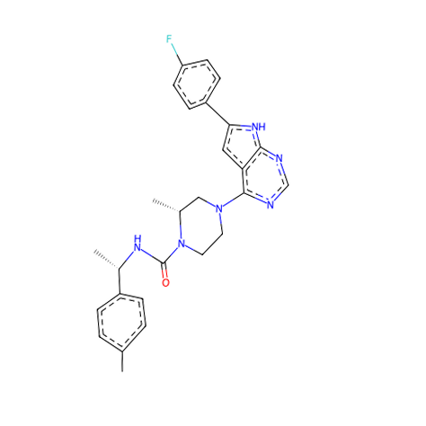 Cc1ccc([C@H](C)NC(=O)N2CCN(c3ncnc4[nH]c(-c5ccc(F)cc5)cc34)C[C@H]2C)cc1